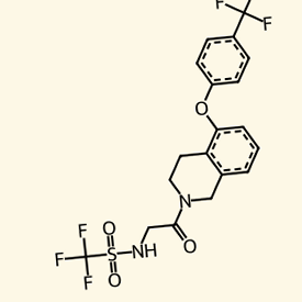 O=C(CNS(=O)(=O)C(F)(F)F)N1CCc2c(cccc2Oc2ccc(C(F)(F)F)cc2)C1